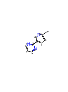 Cc1ccc(-c2ncccn2)[c]n1